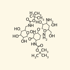 CC(C)(C)OC(=O)NCC1O[C@H](O[C@@H]2C(NC(=O)OC(C)(C)C)C[C@@H](N)C(O[C@H]3OC(CO)[C@@H](O)C(N)C3O)C2O)C(O)C(O)[C@@H]1O